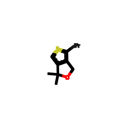 CC(C)c1scc2c1COC2(C)C